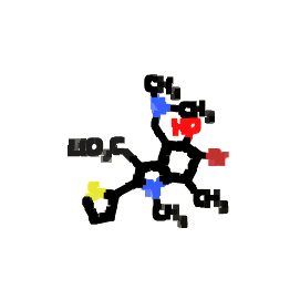 CCOC(=O)c1c(-c2cccs2)n(C)c2c(C)c(Br)c(O)c(CN(C)C)c12